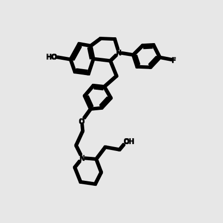 OCCC1CCCCN1CCOc1ccc(CC2c3ccc(O)cc3CCN2c2ccc(F)cc2)cc1